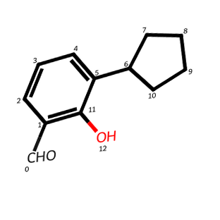 O=Cc1cccc(C2CCCC2)c1O